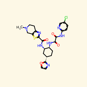 CN1CCc2nc(C(=O)N[C@@H]3C[C@@H](c4ncco4)CC[C@@H]3NC(=O)C(=O)Nc3ccc(Cl)cn3)sc2C1